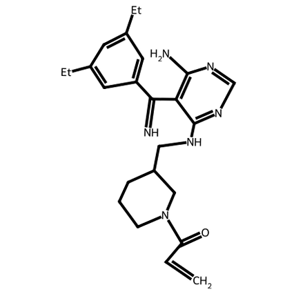 C=CC(=O)N1CCCC(CNc2ncnc(N)c2C(=N)c2cc(CC)cc(CC)c2)C1